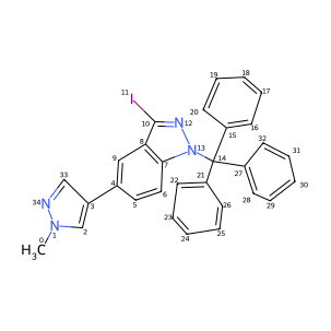 Cn1cc(-c2ccc3c(c2)c(I)nn3C(c2ccccc2)(c2ccccc2)c2ccccc2)cn1